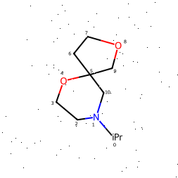 CC(C)N1CCOC2(CCOC2)C1